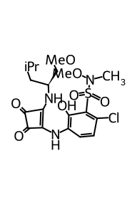 COC[C@H](CC(C)C)Nc1c(Nc2ccc(Cl)c(S(=O)(=O)N(C)OC)c2O)c(=O)c1=O